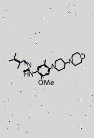 C=C(/N=C\C(C)=C(C)C)Nc1cc(C)c(N2CCC(N3CCOCC3)CC2)cc1OC